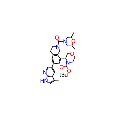 Cc1c[nH]c2ncc(-c3cc4c(c([C@@H]5COCCN5C(=O)OC(C)(C)C)c3)CN(C(=O)N3CC(C)OC(C)C3)CC4)cc12